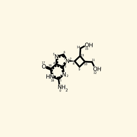 Nc1nc2c(ncn2[C@@H]2CC(CO)C2CO)c(=O)[nH]1